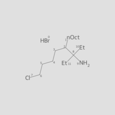 Br.CCCCCCCCC(CCCCCl)C(N)(CC)CC